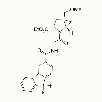 CCOC(=O)[C@@H]1C[C@]2(COC)C[C@@H]2N1C(=O)CNC(=O)c1ccc2c(c1)-c1ccccc1C2(F)F